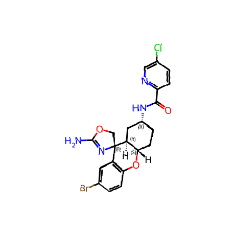 NC1=N[C@@]2(CO1)c1cc(Br)ccc1O[C@H]1CC[C@@H](NC(=O)c3ccc(Cl)cn3)C[C@@H]12